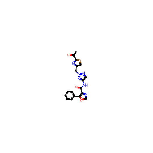 CC(=O)c1nc(Cn2ncc(NC(=O)c3ncoc3-c3ccccc3)n2)cs1